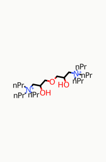 CCC[N+](CCC)(CCC)CC(O)COCC(O)C[N+](CCC)(CCC)CCC